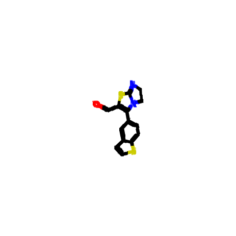 O=CC1=C(c2ccc3sccc3c2)N2CCN=C2S1